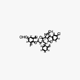 C=C(c1nn(C)c2c1COc1ccc(Cl)cc1-2)N(CCOc1c(F)cc(C=O)cc1F)Cc1ccccc1F